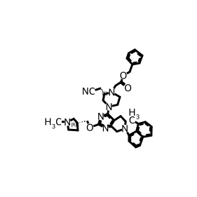 Cc1cccc2cccc(N3CCc4c(nc(OC[C@@H]5CCN(C)C5)nc4N4CCN(CC(=O)OCc5ccccc5)[C@@H](CC#N)C4)C3)c12